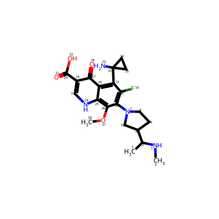 CNC(C)C1CCN(c2c(F)c(C3(N)CC3)c3c(=O)c(C(=O)O)c[nH]c3c2OC)C1